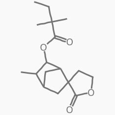 CCC(C)(C)C(=O)OC1C(C)C2CC1C1(CCOC1=O)C2